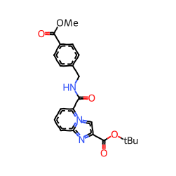 COC(=O)c1ccc(CNC(=O)c2cccc3nc(C(=O)OC(C)(C)C)cn23)cc1